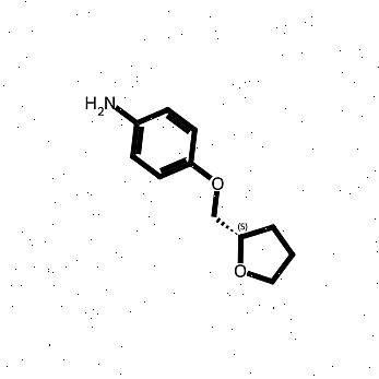 Nc1ccc(OC[C@@H]2CCCO2)cc1